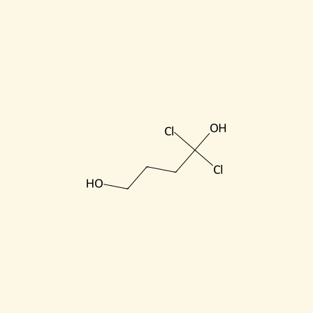 OCCCC(O)(Cl)Cl